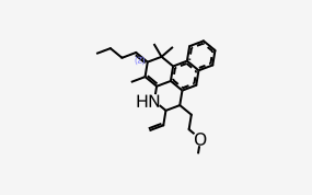 C=CC1NC2=C(C)/C(=C\CCC)C(C)(C)c3c2c(cc2ccccc32)C1CCOC